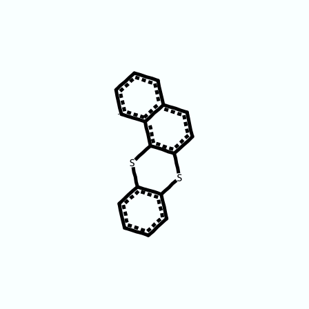 [c]1cccc2ccc3c(c12)Sc1ccccc1S3